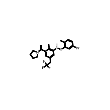 C=C(c1cc(CC(F)(F)F)cc(NSc2cc(Br)ccc2C)c1C)N1CCCC1